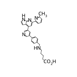 Cc1cccc(-c2cc(-c3cncc(-c4ccc(CNCCCCC(=O)O)cc4)c3)c3cc[nH]c3n2)n1